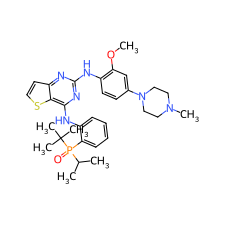 COc1cc(N2CCN(C)CC2)ccc1Nc1nc(Nc2ccccc2P(=O)(C(C)C)C(C)(C)C)c2sccc2n1